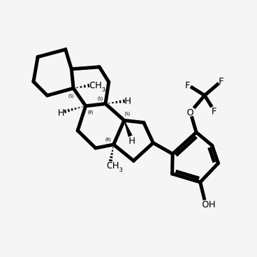 C[C@]12CC[C@@H]3[C@@H](CCC4CCCC[C@@]43C)[C@@H]1CC(c1cc(O)ccc1OC(F)(F)F)C2